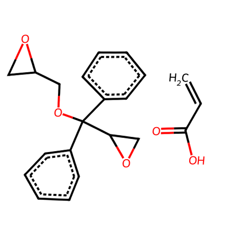 C=CC(=O)O.c1ccc(C(OCC2CO2)(c2ccccc2)C2CO2)cc1